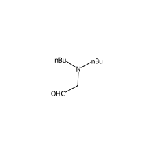 CCCCN(CC=O)CCCC